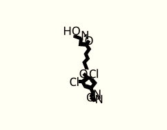 OCc1cc(CCCCCOc2c(Cl)cc(-c3nnco3)cc2Cl)on1